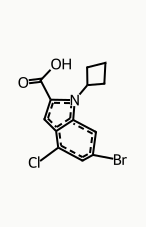 O=C(O)c1cc2c(Cl)cc(Br)cc2n1C1CCC1